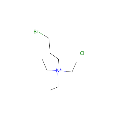 CC[N+](CC)(CC)CCCBr.[Cl-]